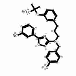 CC(C)(Oc1cccc(CCCN(Cc2ccc(C(F)(F)F)cc2)c2noc(-c3cccc(C#N)c3)n2)c1)C(=O)O